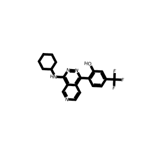 Oc1cc(C(F)(F)F)ccc1-c1nnc(NC2CCCCC2)c2cnccc12